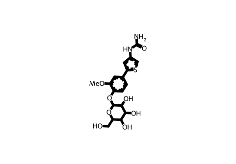 COc1cc(-c2cc(NC(N)=O)cs2)ccc1OC1OC(CO)C(O)C(O)C1O